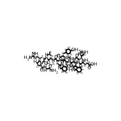 CC(C)C[C@@H](C(=O)N[C@@H](CCCNC(=N)N)C(=O)N1CCC[C@H]1C(=O)NCC(N)=O)N(C)C(=O)[C@@H](Cc1nc2ccccc2[nH]1)NC(=O)[C@H](Cc1ccc(O)cc1)NC(=O)[C@H](CO)NC(=O)[C@H](Cc1c[nH]c2ccccc12)NC(=O)[C@H](Cc1c[nH]cn1)NC(=O)[C@@H](N)CCC(=O)O